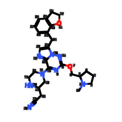 CN1CCCC1COc1nc(N2CCNC(CC#N)C2)c2ncc(Cc3cccc4c3OCC4)n2n1